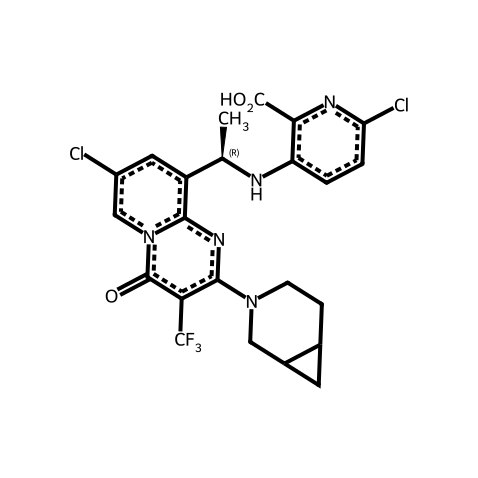 C[C@@H](Nc1ccc(Cl)nc1C(=O)O)c1cc(Cl)cn2c(=O)c(C(F)(F)F)c(N3CCC4CC4C3)nc12